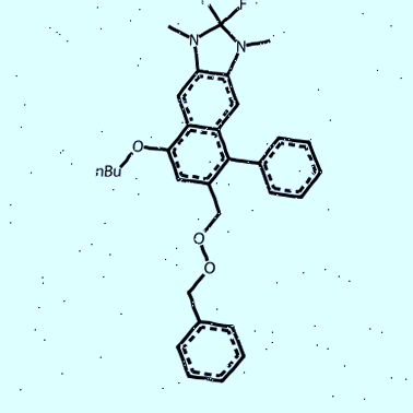 CCCCOc1cc(COOCc2ccccc2)c(-c2ccccc2)c2cc3c(cc12)N(C)C(F)(F)N3C